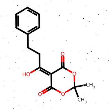 CC1(C)OC(=O)C(=C(O)CCc2ccccc2)C(=O)O1